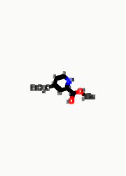 CCOC(=O)c1ccnc(C(=O)OC(C)(C)C)c1